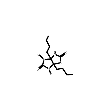 CCCCC12NC(=O)NC1(CCCC)N(Cl)C(=O)N2Cl